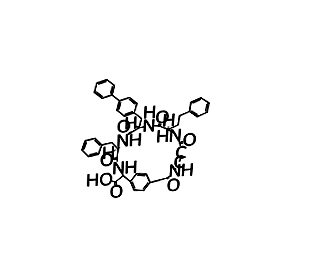 O=C1CCNC(=O)c2ccc(cc2)C(C(=O)O)NC(=O)[C@@H](Cc2ccccc2)NC(=O)[C@H](Cc2ccc(-c3ccccc3)cc2)NC(=O)[C@@H](CCc2ccccc2)N1